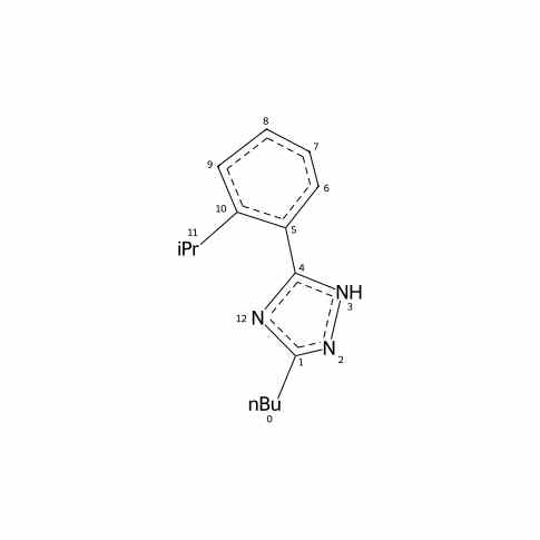 CCCCc1n[nH]c(-c2ccccc2C(C)C)n1